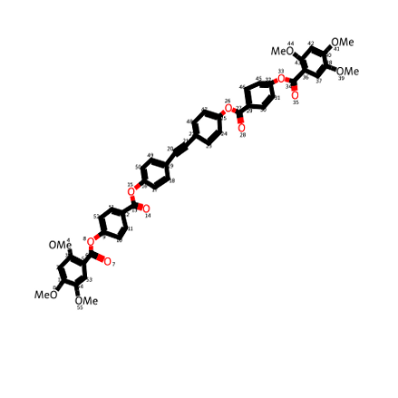 COc1cc(OC)c(C(=O)Oc2ccc(C(=O)Oc3ccc(C#Cc4ccc(OC(=O)c5ccc(OC(=O)c6cc(OC)c(OC)cc6OC)cc5)cc4)cc3)cc2)cc1OC